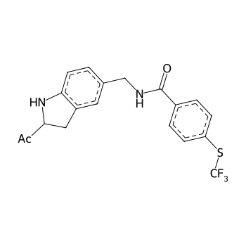 CC(=O)C1Cc2cc(CNC(=O)c3ccc(SC(F)(F)F)cc3)ccc2N1